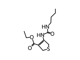 CCCCNC(=O)NC1=C(C(=O)OCC)CSC1